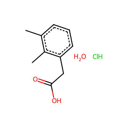 Cc1cccc(CC(=O)O)c1C.Cl.O